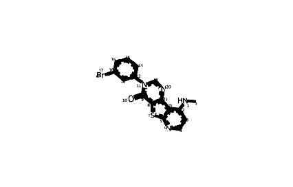 CNc1ccnc2sc3c(=O)n(-c4cccc(Br)c4)cnc3c12